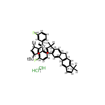 Cl.Cl.[CH2]=[Zr]([C]1=CC(C(C)(C)C)=CC1CC)([C]1=Cc2cc3c(cc2C1(C)C)Cc1cc2c(cc1-3)C=CC2(C)C)([c]1cccc(F)c1)[c]1cccc(F)c1